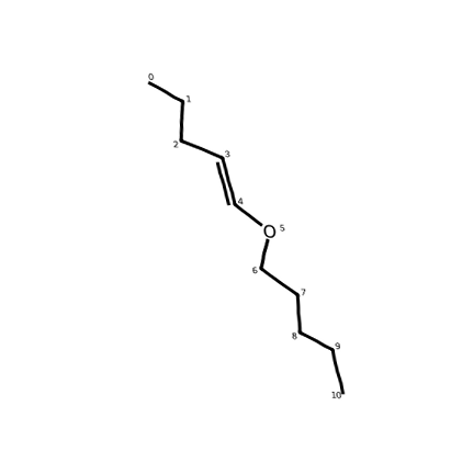 CCCC=COCCCCC